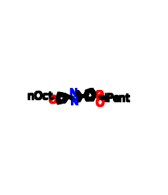 CCCCCCCCOc1ccc(-c2ncc(-c3ccc(OC(=O)C(C)CCC)cc3)cn2)cc1